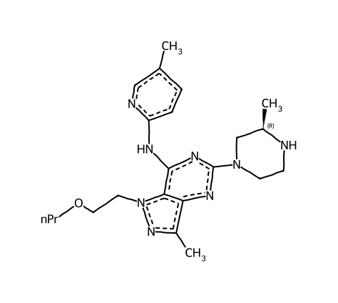 CCCOCCn1nc(C)c2nc(N3CCN[C@H](C)C3)nc(Nc3ccc(C)cn3)c21